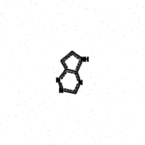 c1nnc2cc[nH]c2n1